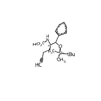 C#CCC[C@@H](NC(=O)O)C(O[Si](C)(C)C(C)(C)C)c1ccccc1